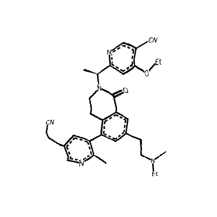 CCOc1cc([C@H](C)N2CCc3c(cc(CCN(C)CC)cc3-c3cc(CC#N)cnc3C)C2=O)ncc1C#N